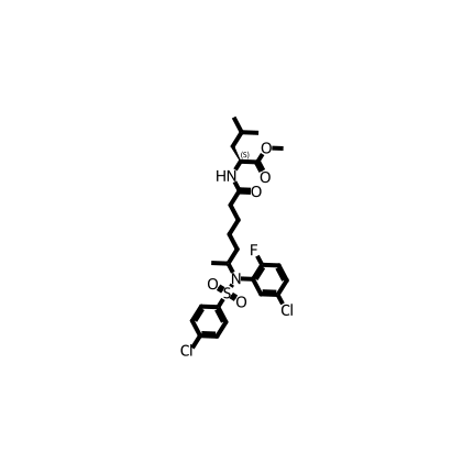 COC(=O)[C@H](CC(C)C)NC(=O)CCCCC(C)N(c1cc(Cl)ccc1F)S(=O)(=O)c1ccc(Cl)cc1